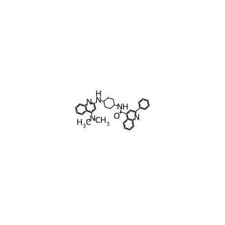 CN(C)c1cc(NC2CCC(NC(=O)c3cc(-c4ccccc4)nc4ccccc34)CC2)nc2ccccc12